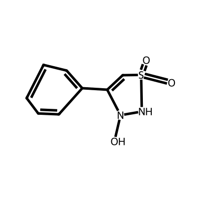 O=S1(=O)C=C(c2ccccc2)N(O)N1